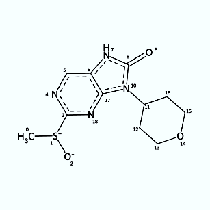 C[S+]([O-])c1ncc2[nH]c(=O)n(C3CCOCC3)c2n1